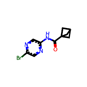 O=C(Nc1cnc(Br)cn1)C12CC(C1)C2